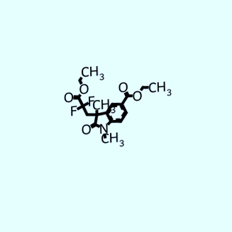 CCOC(=O)c1ccc2c(c1)C(C)(CC(F)(F)C(=O)OCC)C(=O)N2C